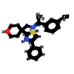 N#Cc1cccc(C(=NCC2(c3nc(-c4ccccc4)cs3)CCOCC2)C(F)(F)F)c1